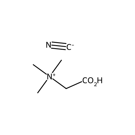 C[N+](C)(C)CC(=O)O.[C-]#N